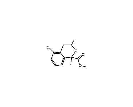 COC(=O)C1(C)OC(C)Cc2c(Cl)cccc21